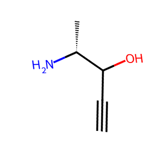 C#CC(O)[C@@H](C)N